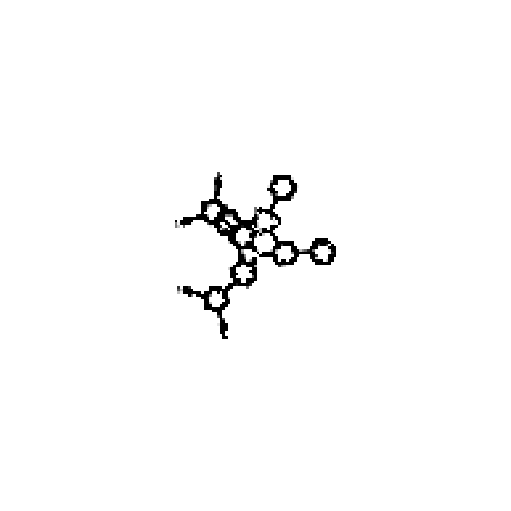 N#Cc1cc(C#N)cc(-c2ccc3c(c2)c2cc(-c4cc(C#N)cc(C#N)c4)ccc2n3-c2ccc(-c3cccnc3)cc2-c2nc(-c3ccccc3)nc(-c3ccccc3)n2)c1